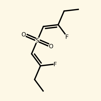 CCC(F)=CS(=O)(=O)C=C(F)CC